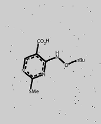 CCCCONc1nc(SC)ncc1C(=O)O